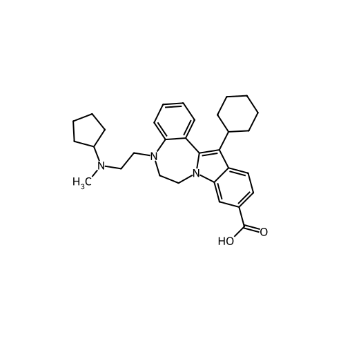 CN(CCN1CCn2c(c(C3CCCCC3)c3ccc(C(=O)O)cc32)-c2ccccc21)C1CCCC1